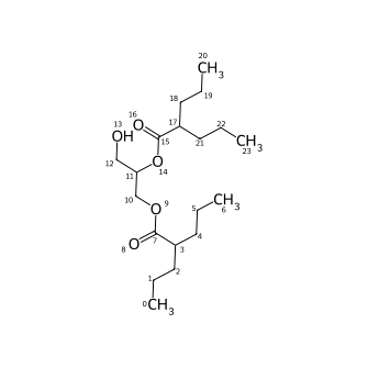 CCCC(CCC)C(=O)OCC(CO)OC(=O)C(CCC)CCC